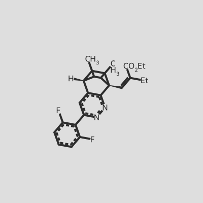 CCOC(=O)/C(=C\[C@@]12CC[C@@H](c3cc(-c4c(F)cccc4F)nnc31)C(C)C2C)CC